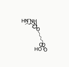 CC1C=C(c2ccc(OCCCCCCCOC3(C(=O)O)COC3)cn2)NCCN1